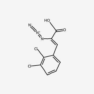 [N-]=[N+]=N/C(=C\c1cccc(Cl)c1Cl)C(=O)O